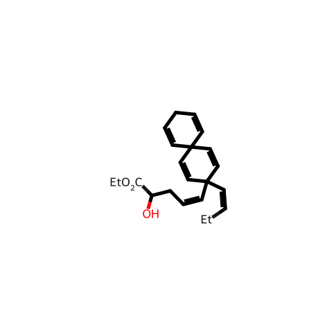 CC/C=C\C1(/C=C\CC(O)C(=O)OCC)C=CC2(C=CCC=C2)C=C1